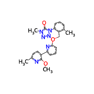 COc1nc(C)ccc1-c1cccc(OCc2c(C)cccc2-n2nnn(C)c2=O)n1